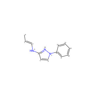 C[C]=CNc1ccn(-c2ccccc2)n1